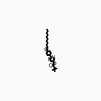 CCCCCCCCCCOc1ccc(-c2ncc(OC(=O)C3CC3(C)C)cn2)cc1